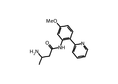 COc1ccc(-c2ccccn2)c(NC(=O)CC(C)N)c1